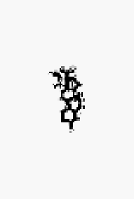 CC[C@]12CCC3=C4CCC(=O)C=C4CC[C@H]3[C@@H]1CC[C@]2(OC=O)C(C)=O